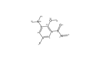 C=NC(=O)c1cc(F)cc(N(C)C)c1OC